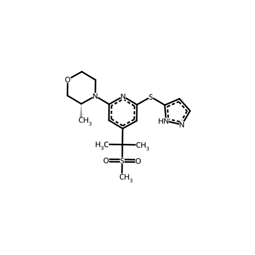 C[C@@H]1COCCN1c1cc(C(C)(C)S(C)(=O)=O)cc(Sc2ccn[nH]2)n1